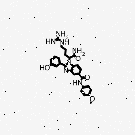 COc1ccc(NC(=O)c2ccc3c(c2)nc(-c2cccc(O)c2)n3C(CCCNC(=N)N)C(N)=O)cc1